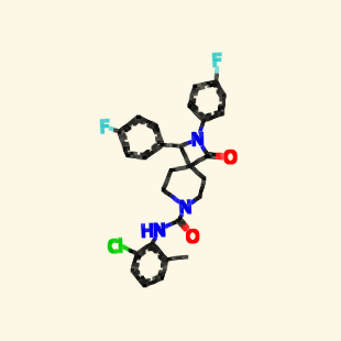 Cc1cccc(Cl)c1NC(=O)N1CCC2(CC1)C(=O)N(c1ccc(F)cc1)C2c1ccc(F)cc1